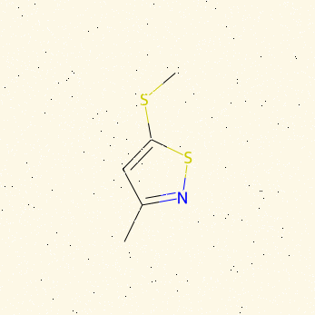 CSc1cc(C)ns1